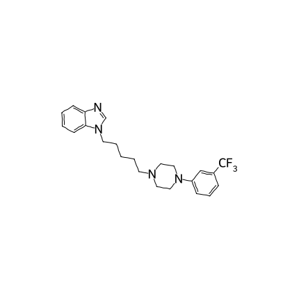 FC(F)(F)c1cccc(N2CCN(CCCCCn3cnc4ccccc43)CC2)c1